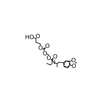 CCN(C(=O)OCOC(=O)OCCC(=O)O)C(C)Cc1ccc2c(c1)OCO2